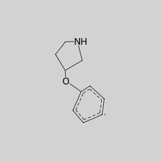 [c]1ccc(OC2CCNC2)cc1